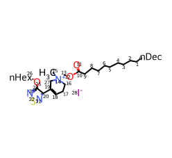 CCCCCCCCCCCCCCCCCCCC(=O)OC[N+]1(C)CCC=C(c2nsnc2OCCCCCC)C1.[I-]